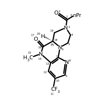 CCCC(=O)N1CCN2c3ncc(C(F)(F)F)cc3N(C)C(=O)[C@H]2C1